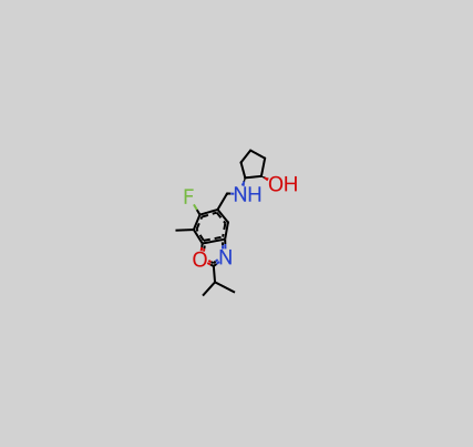 Cc1c(F)c(CN[C@H]2CCC[C@H]2O)cc2nc(C(C)C)oc12